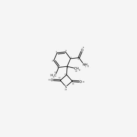 CC1=CC=CC(C(N)=O)C1(C)C1C(=O)SC1=O